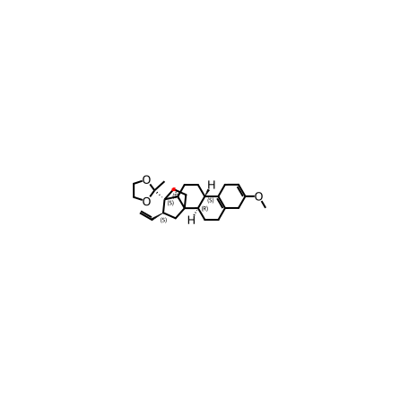 C=C[C@@H]1CC23CC[C@@]1(C1(C)OCCO1)[C@@]2(C)CC[C@@H]1C2=C(CC[C@H]13)CC(OC)=CC2